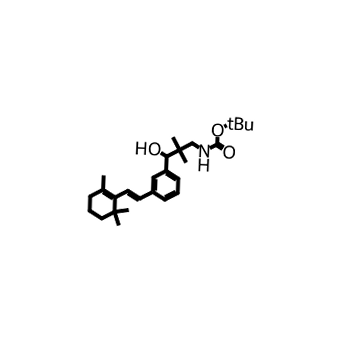 CC1=C(C=Cc2cccc(C(O)C(C)(C)CNC(=O)OC(C)(C)C)c2)C(C)(C)CCC1